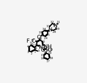 Cc1ccccc1-c1nc(NS(=O)(=O)c2ccccc2)cc(Oc2ccc(N3CCN(C)CC3)cc2)c1C(F)(F)F